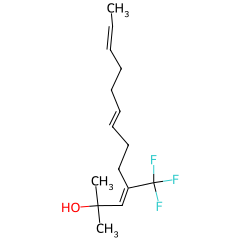 CC=CCCC=CCCC(=CC(C)(C)O)C(F)(F)F